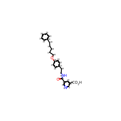 O=C(O)c1cncc(C(=O)NCCc2ccc(OCCCCCc3ccccc3)cc2)c1